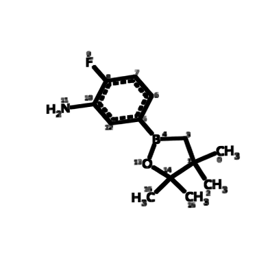 CC1(C)CB(c2ccc(F)c(N)c2)OC1(C)C